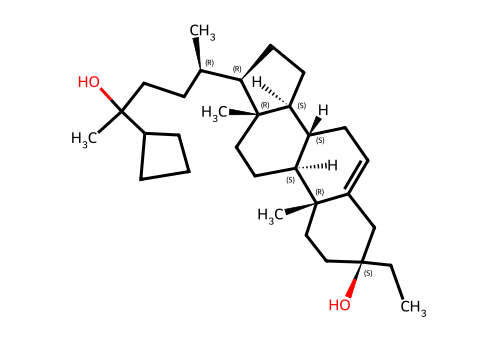 CC[C@]1(O)CC[C@@]2(C)C(=CC[C@H]3[C@@H]4CC[C@H]([C@H](C)CCC(C)(O)C5CCC5)[C@@]4(C)CC[C@@H]32)C1